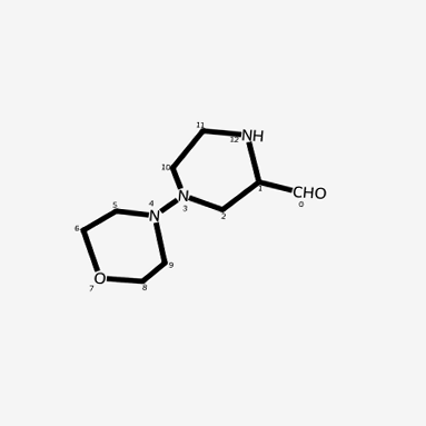 O=CC1CN(N2CCOCC2)CCN1